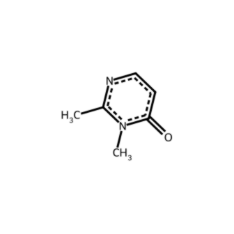 Cc1nccc(=O)n1C